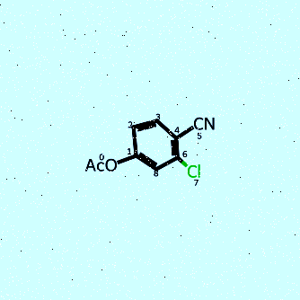 CC(=O)Oc1ccc(C#N)c(Cl)c1